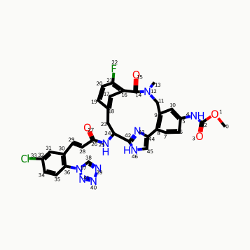 COC(=O)Nc1ccc2c(c1)CN(C)C(=O)c1cc(ccc1F)CC(NC(=O)/C=C/c1cc(Cl)ccc1-n1cnnn1)c1nc-2c[nH]1